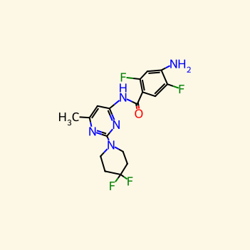 Cc1cc(NC(=O)c2cc(F)c(N)cc2F)nc(N2CCC(F)(F)CC2)n1